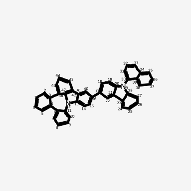 c1ccc2c(c1)-c1ccccc1-n1c3ccc(-c4ccc5c(c4)c4ccccc4n5-c4cccc5ccccc45)cc3c3cccc-2c31